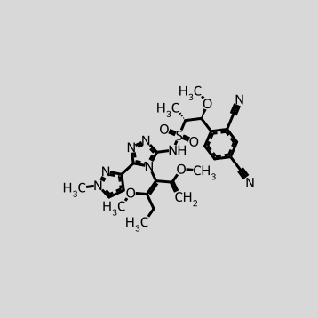 C=C(OC)/C(=C(\CC)OC)n1c(NS(=O)(=O)[C@H](C)[C@@H](OC)c2ccc(C#N)cc2C#N)nnc1-c1ccn(C)n1